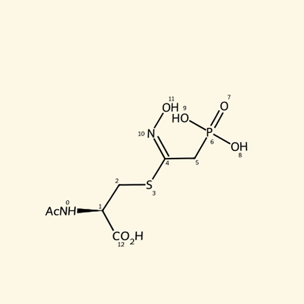 CC(=O)N[C@@H](CSC(CP(=O)(O)O)=NO)C(=O)O